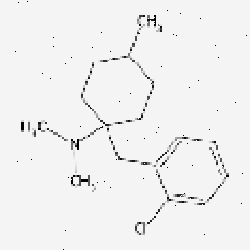 CC1CCC(Cc2ccccc2Cl)(N(C)C)CC1